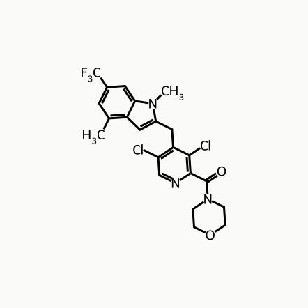 Cc1cc(C(F)(F)F)cc2c1cc(Cc1c(Cl)cnc(C(=O)N3CCOCC3)c1Cl)n2C